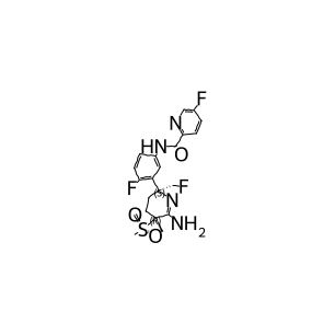 C[C@@]1(S(C)(=O)=O)CC[C@@](CF)(c2cc(NC(=O)c3ccc(F)cn3)ccc2F)N=C1N